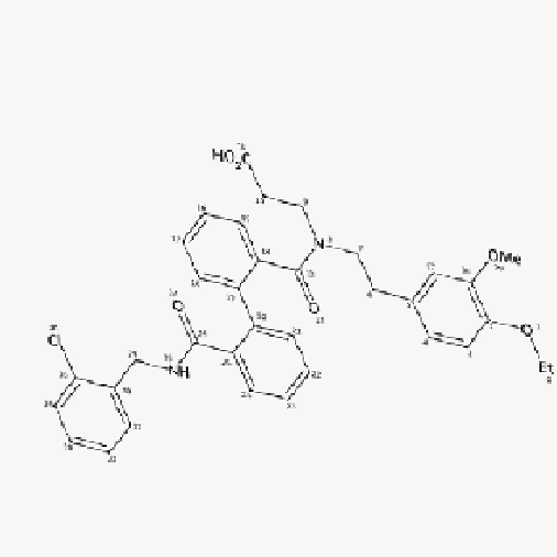 CCOc1ccc(CCN(CCC(=O)O)C(=O)c2ccccc2-c2ccccc2C(=O)NCc2ccccc2Cl)cc1OC